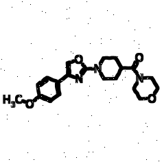 COc1ccc(-c2coc(N3CCC(C(=O)N4CCOCC4)CC3)n2)cc1